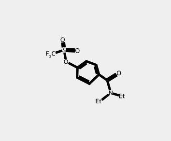 CCN(CC)C(=O)c1ccc(OS(=O)(=O)C(F)(F)F)cc1